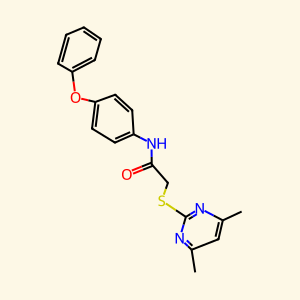 Cc1cc(C)nc(SCC(=O)Nc2ccc(Oc3ccccc3)cc2)n1